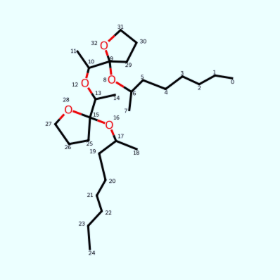 CCCCCCC(C)OC1(C(C)OC(C)C2(OC(C)CCCCCC)CCCO2)CCCO1